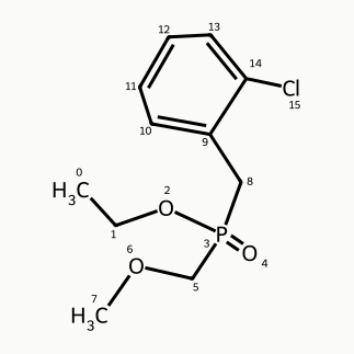 CCOP(=O)(COC)Cc1ccccc1Cl